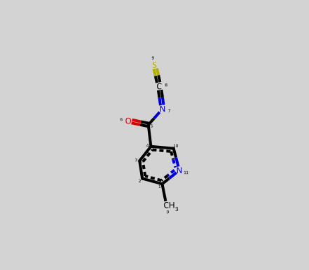 Cc1ccc(C(=O)N=C=S)cn1